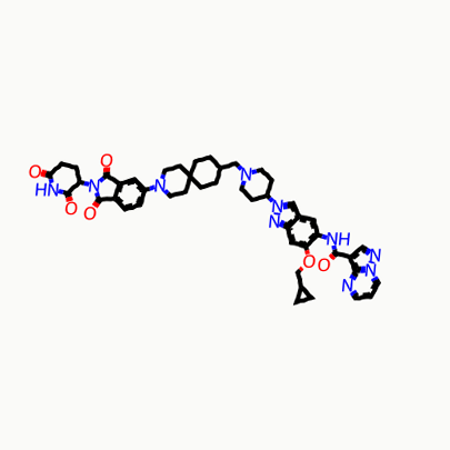 O=C1CCC(N2C(=O)c3ccc(N4CCC5(CCC(CN6CCC(n7cc8cc(NC(=O)c9cnn%10cccnc9%10)c(OCC9CC9)cc8n7)CC6)CC5)CC4)cc3C2=O)C(=O)N1